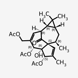 CC(=O)OCC1=C[C@@H]2C(=O)[C@]3(C=C(C)[C@H](OC(C)=O)[C@@]3(O)[C@@H]1OC(C)=O)[C@H](C)C[C@@H]1[C@H]2C1(C)C